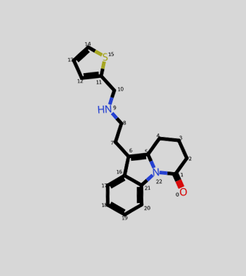 O=C1CCCc2c(CCNCc3cccs3)c3ccccc3n21